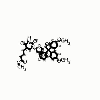 COC(=O)CCCc1cn([C@H]2C[C@H](O)[C@@H](C(O)C(c3ccccc3)(c3ccc(OC)cc3)c3ccc(OC)cc3)O2)c(=O)[nH]c1=O